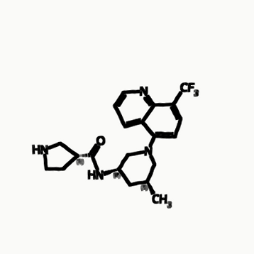 C[C@H]1C[C@@H](NC(=O)[C@@H]2CCNC2)CN(c2ccc(C(F)(F)F)c3ncccc23)C1